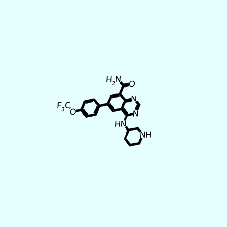 NC(=O)c1cc(-c2ccc(OC(F)(F)F)cc2)cc2c(NC3CCCNC3)ncnc12